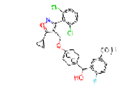 O=C(O)c1ccc(F)c(C(O)C23CCC(OCc4c(-c5c(Cl)cccc5Cl)noc4C4CC4)(CC2)CC3)c1